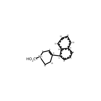 O=C(O)N1CC=C(c2cccc3ccccc23)CC1